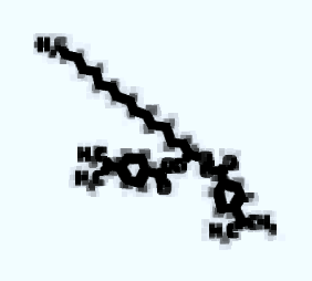 [CH2]CCCCCCCCCCCCCC[C](OOC(=O)c1ccc(C(C)C)cc1)OOC(=O)c1ccc(C(C)C)cc1